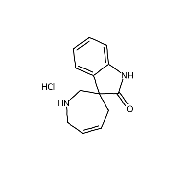 Cl.O=C1Nc2ccccc2C12CC=CCNC2